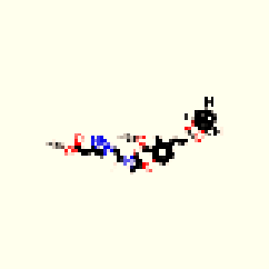 Cc1c(CCB2O[C@@H]3C[C@@H]4C[C@@H](C4(C)C)[C@]3(C)O2)ccc(OC2CN(C(=O)Cn3cc(CC(=O)OC(C)(C)C)nn3)C2)c1C(=O)OC(C)(C)C